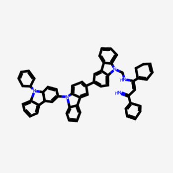 N=C(/C=C(\NCn1c2ccccc2c2cc(-c3ccc4c(c3)c3ccccc3n4C3=CC4c5ccccc5N(C5C=CC=CC5)C4C=C3)ccc21)C1=CC=CCC1)c1ccccc1